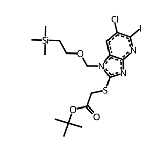 CC(C)(C)OC(=O)CSc1nc2nc(I)c(Cl)cc2n1COCC[Si](C)(C)C